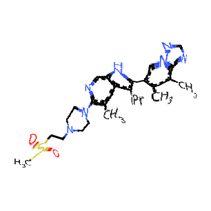 Cc1c(-c2[nH]c3cnc(N4CCN(CCS(C)(=O)=O)CC4)c(C)c3c2C(C)C)cn2ncnc2c1C